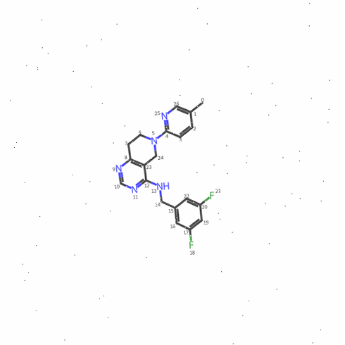 Cc1ccc(N2CCc3ncnc(NCc4cc(F)cc(F)c4)c3C2)nc1